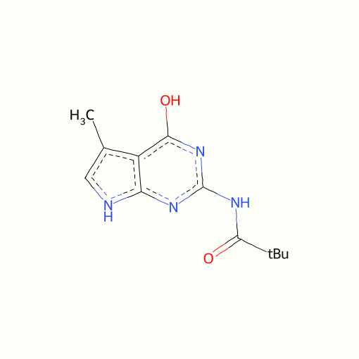 Cc1c[nH]c2nc(NC(=O)C(C)(C)C)nc(O)c12